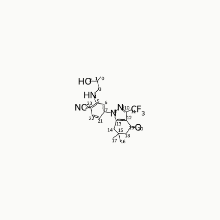 CC(O)CNc1cc(-n2nc(C(F)(F)F)c3c2CC(C)(C)CC3=O)ccc1C#N